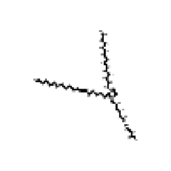 CCCCCCCCCCCCCCCCCCCC1N(CCCCCCCCCCCC)C=CN1CCCCCCCCCCCCCCC